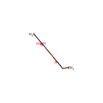 CCCCCCCC/C=C\CCCCCCCCCCCC(=O)CCCCCCCCCCCCCCCCCCCCCCCCCCCCCC(=O)N[C@H](CO)CCCCCCCCCCCCCCCC